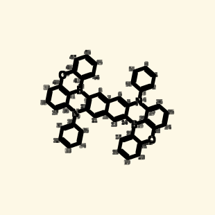 c1ccc(N2c3cc4cc5c(cc4cc3B3c4ccccc4Oc4cccc2c43)N(c2ccccc2)c2cccc3c2B5c2ccccc2O3)cc1